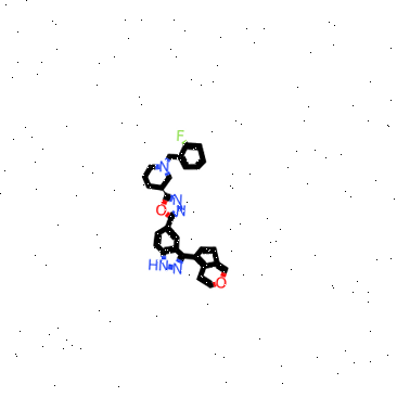 Fc1ccccc1CN1CCC[C@@H](c2nnc(-c3ccc4[nH]nc(-c5ccc6coccc5-6)c4c3)o2)C1